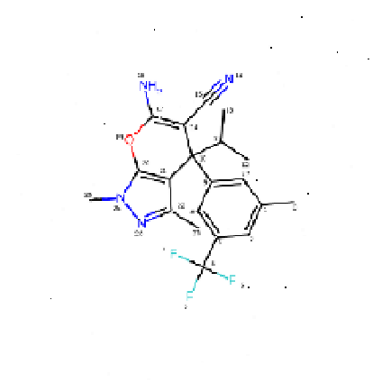 Cc1cc(C(F)(F)F)cc(C2(C(C)C)C(C#N)=C(N)Oc3c2c(C)nn3C)c1